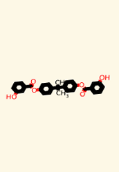 CC(C)(c1ccc(OC(=O)c2cccc(O)c2)cc1)c1ccc(OC(=O)c2cccc(O)c2)cc1